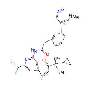 CCCC(C#N)(C(=O)/C=C(/C)c1cc(NC(=O)Cc2cccc(/C(C=N)=C/NC)c2)nc(C(F)F)c1)C1CC1